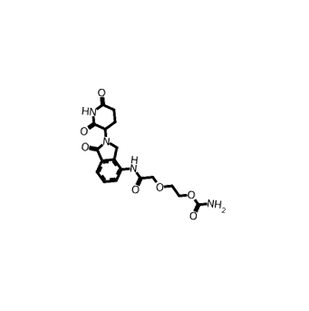 NC(=O)OCCOCC(=O)Nc1cccc2c1CN(C1CCC(=O)NC1=O)C2=O